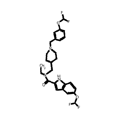 CCN(CC1CCN(Cc2cccc(OC(F)F)c2)CC1)C(=O)c1cc2cc(OC(F)F)ccc2[nH]1